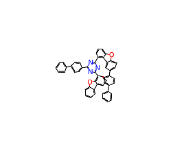 c1ccc(-c2ccc(-c3ccc4oc5cccc(-c6nc(-c7ccc(-c8ccccc8)cc7)nc(-c7cccc8c7oc7ccccc78)n6)c5c4c3)cc2)cc1